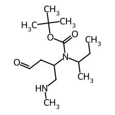 CCC(C)N(C(=O)OC(C)(C)C)C(CC=O)CNC